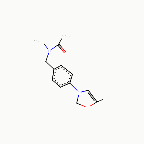 CNC(=O)N(Cc1ccc(N2C=C(C(F)(F)F)OC2)cc1)OC